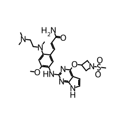 COc1cc(N(C)CCN(C)C)c(C=CC(N)=O)cc1Nc1nc(OC2CN(S(C)(=O)=O)C2)c2cc[nH]c2n1